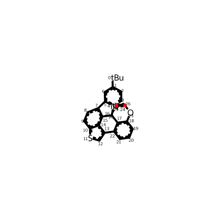 CC(C)(C)c1cc[n+]2c(c1)-c1ccc3scc4c3c1[C@@]21c2c(cccc2-4)Oc2cccc[n+]21